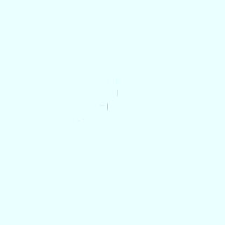 CCC[C]1([Hf])C=Cc2ccccc21.Cl.Cl